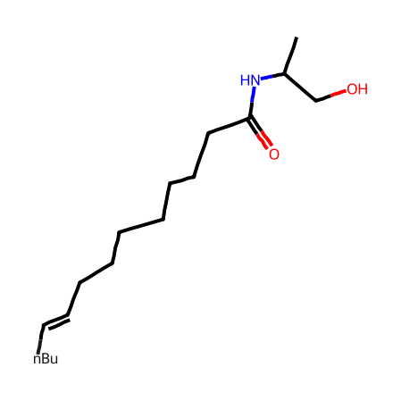 CCCCC=CCCCCCCCC(=O)NC(C)CO